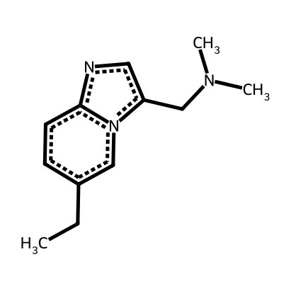 CCc1ccc2ncc(CN(C)C)n2c1